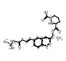 CCC(=O)N1CCC[C@@H](C(=O)O[C@H](C)c2cc3cc(/C=C/CC(=O)N[C@H](C(C)=O)C(C)C)ccc3nn2)N1